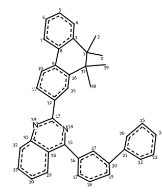 CC1(C)c2ccccc2-c2ccc(-c3nc(-c4cccc(-c5ccccc5)c4)c4ccccc4n3)cc2C1(C)C